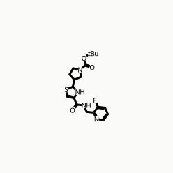 CC(C)(C)OC(=O)N1CCC(C2NC(C(=O)NCc3ncccc3F)=CS2)C1